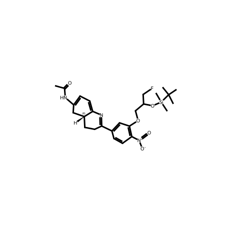 CC(=O)NC1=CC=C2N=C(c3ccc([N+](=O)[O-])c(OCC(CF)O[Si](C)(C)C(C)(C)C)c3)CC[C@@H]2C1